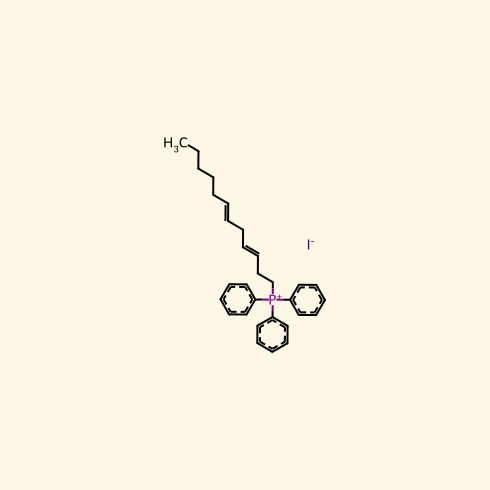 CCCCCC=CCC=CCC[P+](c1ccccc1)(c1ccccc1)c1ccccc1.[I-]